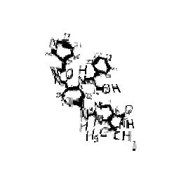 CC1(C)NC(=O)c2cnc(Nc3cc(N[C@H](CO)c4ccccc4)c(-c4nnc(-c5cccnc5)o4)cn3)nc21